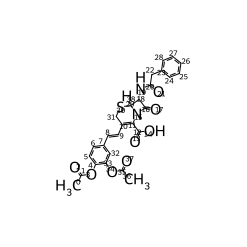 CC(=O)Oc1ccc(C=CC2=C(C(=O)O)N3C(=O)[C@@H](NC(=O)Cc4ccccc4)[C@H]3SC2)cc1OC(C)=O